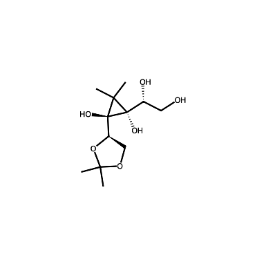 CC1(C)OC[C@H]([C@]2(O)C(C)(C)[C@@]2(O)[C@H](O)CO)O1